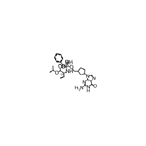 C=C[C@H](N[PH](O)(OCC1CCC(N2C=NC3C(=O)NC(N)=NC32)C1)Oc1ccccc1)C(O)OC(C)C